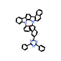 c1ccc(-c2nc(-c3ccccc3)nc(-c3ccc4cc(-n5c6ccc7ccccc7c6c6ccc7c8ccccc8n(-c8ccccc8)c7c65)ccc4c3)n2)cc1